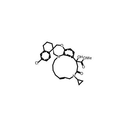 COC(=O)C1(O)CC(=O)N(C2CC2)C/C=C/CCCCN2C[C@@]3(CCCc4cc(Cl)ccc43)COc3ccc1cc32